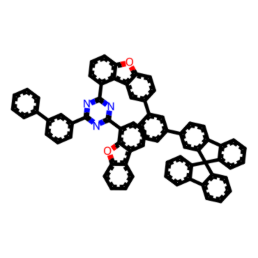 c1ccc(-c2cccc(-c3nc(-c4cccc5c4oc4ccccc45)nc(-c4cccc5oc6ccc(-c7cccc(-c8ccc9c(c8)C8(c%10ccccc%10-c%10ccccc%108)c8ccccc8-9)c7)cc6c45)n3)c2)cc1